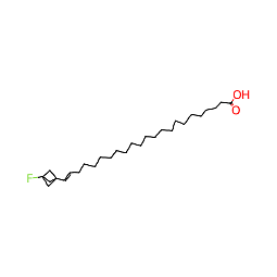 O=C(O)CCCCCCCCCCCCCCCCCCCC/C=C/C12CC(F)(C1)C2